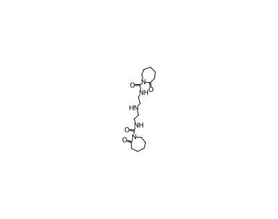 O=C1CCCCCN1C(=O)NCCNCCNC(=O)N1CCCCCC1=O